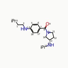 CC(C)CCNc1ccc(C(=O)N2CC[C@H](NC(C)C)C2)cc1